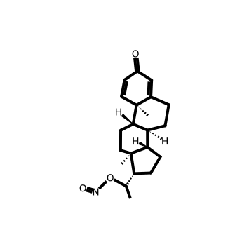 CC(ON=O)[C@H]1CC[C@H]2[C@@H]3CCC4=CC(=O)C=C[C@]4(C)[C@H]3CC[C@]12C